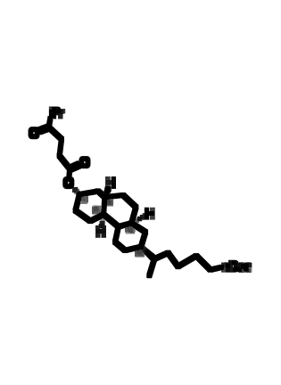 CCCCCCCCCCCCCCC(C)[C@H]1CCC2[C@@H](CC[C@H]3C[C@@H](OC(=O)CCC(=O)C(C)C)CC[C@H]23)C1